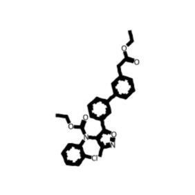 CCOC(=O)Cc1cccc(-c2cccc(-c3onc(C)c3N(C(=O)OCC)c3ccccc3Cl)c2)c1